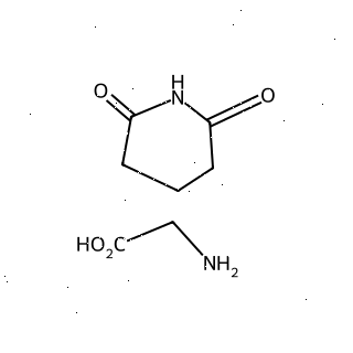 NCC(=O)O.O=C1CCCC(=O)N1